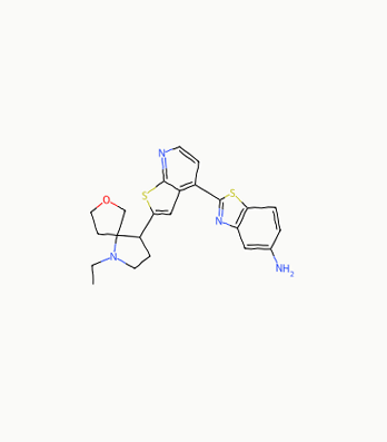 CCN1CCC(c2cc3c(-c4nc5cc(N)ccc5s4)ccnc3s2)C12CCOC2